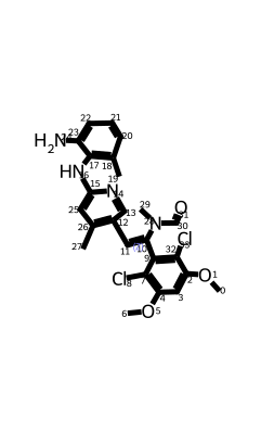 COc1cc(OC)c(Cl)c(/C(=C/c2cnc(Nc3c(C)cccc3N)cc2C)N(C)C=O)c1Cl